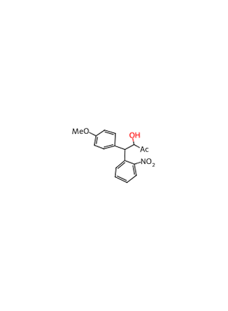 COc1ccc(C(c2ccccc2[N+](=O)[O-])C(O)C(C)=O)cc1